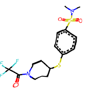 CN(C)S(=O)(=O)c1ccc(SC2CCN(C(=O)C(F)(F)F)CC2)cc1